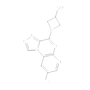 CNC1CN(c2nc3ncc(O)cc3n3cnnc23)C1